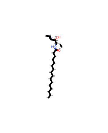 C/C=C/[C@@H](O)[C@H](CC)NC(=O)CCCCCCCCCCCCCCC